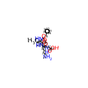 CC(C)[C@H](NC(=O)OCc1ccccc1)C(=O)N[C@@H](CCCCN)C(=O)NCC(=O)O